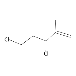 C=C(C)C(Cl)CCCl